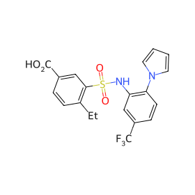 CCc1ccc(C(=O)O)cc1S(=O)(=O)Nc1cc(C(F)(F)F)ccc1-n1cccc1